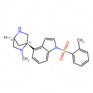 Cc1ccccc1S(=O)(=O)n1ccc2c([C@@]34CN[C@H](CN3C)C4)cccc21